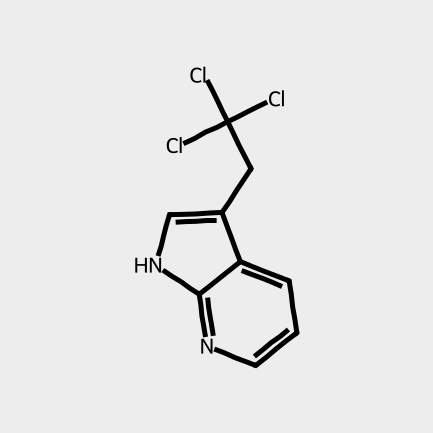 ClC(Cl)(Cl)Cc1c[nH]c2ncccc12